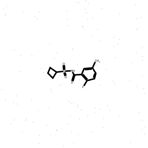 Cc1ccc(F)c(C(=O)NS(=O)(=O)C2CCC2)c1